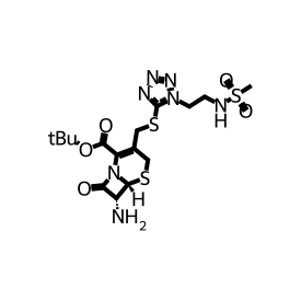 CC(C)(C)OC(=O)C1=C(CSc2nnnn2CCNS(C)(=O)=O)CS[C@@H]2[C@H](N)C(=O)N12